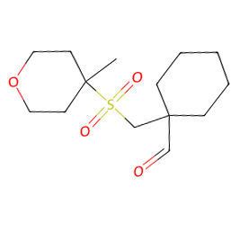 CC1(S(=O)(=O)CC2(C=O)CCCCC2)CCOCC1